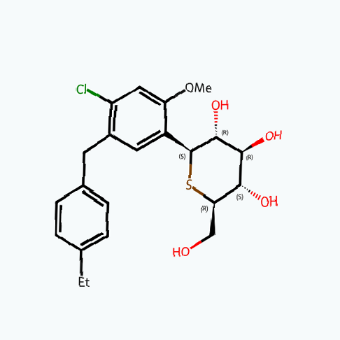 CCc1ccc(Cc2cc([C@@H]3S[C@H](CO)[C@@H](O)[C@H](O)[C@H]3O)c(OC)cc2Cl)cc1